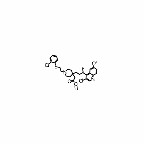 COc1ccc2ncc(Cl)c(C(F)CCC3(CC(=O)O)CCN(CCSc4ccccc4Cl)CC3)c2c1